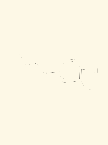 NCCOc1ccc(Cl)c(C(F)(F)F)c1